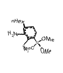 CCCCC[CH]c1ccc([Si](OC)(OC)OC)c(N)c1N